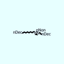 CCCCCCCCCCCCCCCCCC[n+]1ccn(CCCCCCCCCCCC)c1CCCCCCCCC